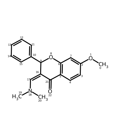 COc1ccc2c(c1)OC(c1ccccc1)C(=CN(C)C)C2=O